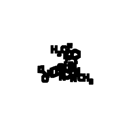 Cc1nc(NCc2cccc(C(C)(F)F)c2F)c2cc(P3(=O)CCN(C(=O)C4CCC4)CC3)ncc2n1